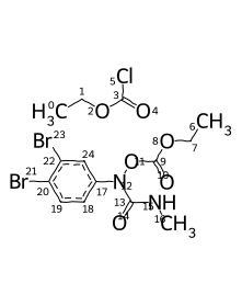 CCOC(=O)Cl.CCOC(=O)ON(C(=O)NC)c1ccc(Br)c(Br)c1